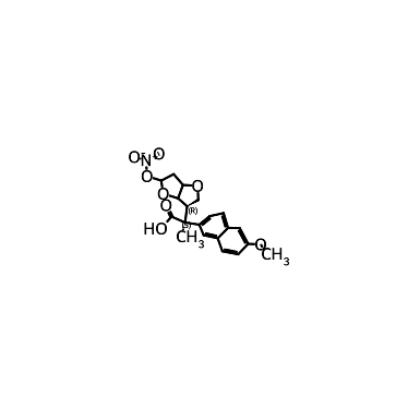 COc1ccc2cc([C@@](C)(C(=O)O)[C@@H]3COC4CC(O[N+](=O)[O-])OC43)ccc2c1